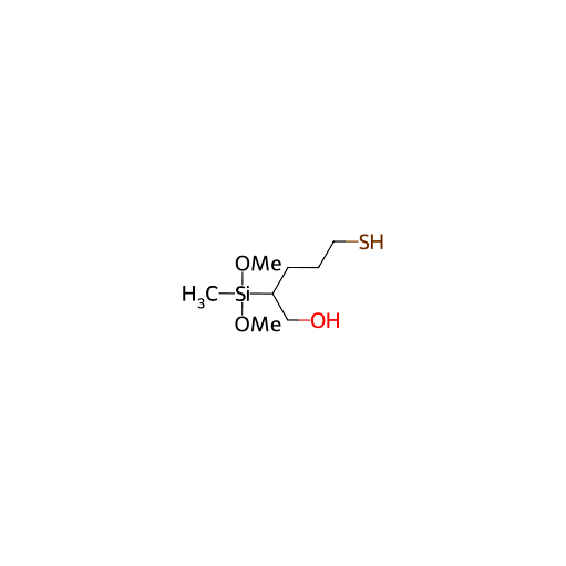 CO[Si](C)(OC)C(CO)CCCS